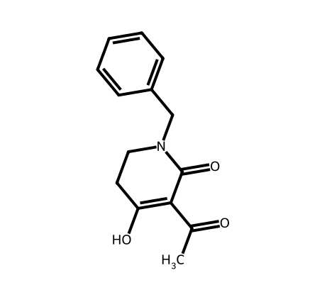 CC(=O)C1=C(O)CCN(Cc2ccccc2)C1=O